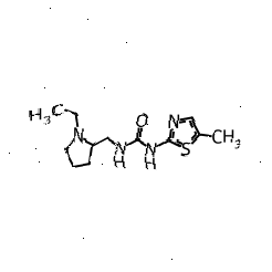 CCN1CCCC1CNC(=O)Nc1ncc(C)s1